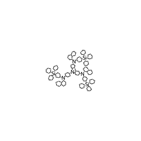 c1ccc([Si](c2ccccc2)(c2ccccc2)c2ccc(N(c3ccc(-n4c5ccc(N(c6ccc([Si](c7ccccc7)(c7ccccc7)c7ccccc7)cc6)c6cccc7ccccc67)cc5c5cc(N(c6ccc([Si](c7ccccc7)(c7ccccc7)c7ccccc7)cc6)c6cccc7ccccc67)ccc54)cc3)c3cccc4ccccc34)cc2)cc1